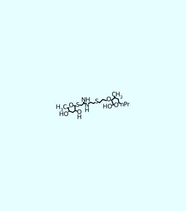 C=C1CC(CCC)OC(O)[C@H]1OCCCSCCNC(=N)CSC1OC(C)C(O)CC1O